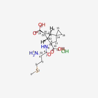 CSCC[C@H](N)C(=O)N[C@@]1(C(=O)O)CC2(CC2)[C@H]2[C@H](C(=O)O)[C@H]21.Cl